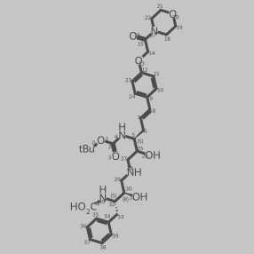 CC(C)(C)OC(=O)N[C@@H](CC=Cc1ccc(OCC(=O)N2CCOCC2)cc1)C(O)CNC[C@@H](O)[C@H](Cc1ccccc1)NC(=O)O